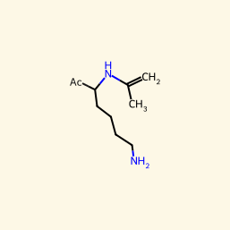 C=C(C)NC(CCCCN)C(C)=O